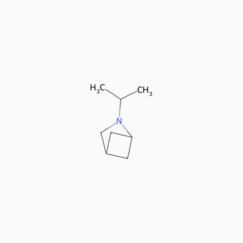 CC(C)N1CC2CC1C2